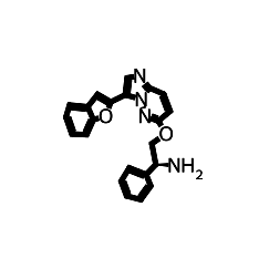 N[C@H](COc1ccc2ncc(-c3cc4ccccc4o3)n2n1)c1ccccc1